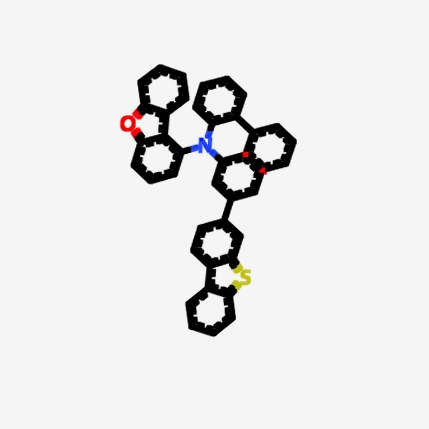 c1ccc(-c2ccccc2N(c2cccc(-c3ccc4c(c3)sc3ccccc34)c2)c2cccc3oc4ccccc4c23)cc1